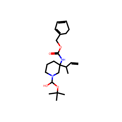 C=CC(C)C1(NC(=O)OCC2=CC=CCC2)CCCN(C(O)OC(C)(C)C)C1